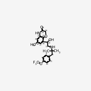 CC(C)(Cc1ccc(OC(F)(F)F)cc1)NCC(O)c1cc(O)cc2c1OCC(=O)N2